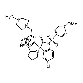 COc1ccc(S(=O)(=O)N2C(=O)C(c3cc(CN4CCN(C)CC4)ccc3F)(N3CCCC3c3ncco3)c3cc(Cl)ccc32)cc1